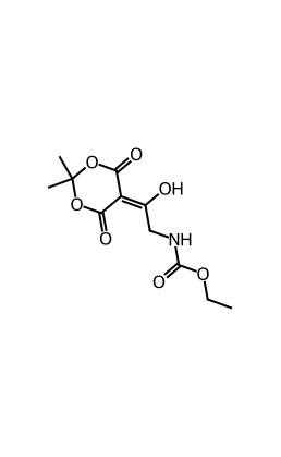 CCOC(=O)NCC(O)=C1C(=O)OC(C)(C)OC1=O